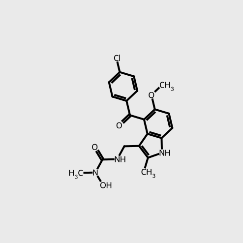 COc1ccc2[nH]c(C)c(CNC(=O)N(C)O)c2c1C(=O)c1ccc(Cl)cc1